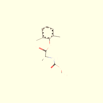 Cc1cccc(C)c1OC(=O)[C@H](C)NC(=O)OC(C)(C)C